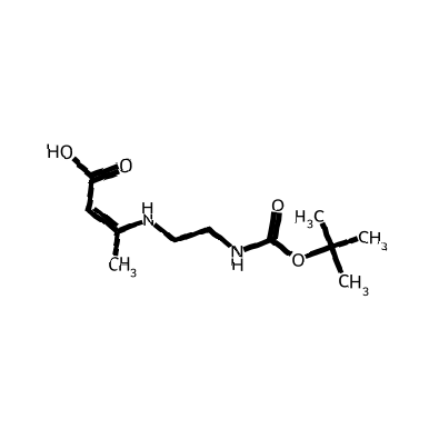 C/C(=C/C(=O)O)NCCNC(=O)OC(C)(C)C